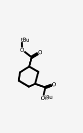 CC(C)COC(=O)C1CCCC(C(=O)OC(C)(C)C)C1